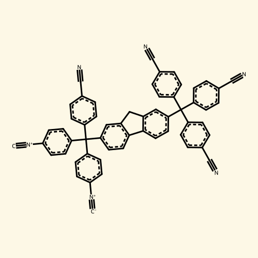 [C-]#[N+]c1ccc(C(c2ccc(C#N)cc2)(c2ccc([N+]#[C-])cc2)c2ccc3c(c2)Cc2cc(C(c4ccc(C#N)cc4)(c4ccc(C#N)cc4)c4ccc(C#N)cc4)ccc2-3)cc1